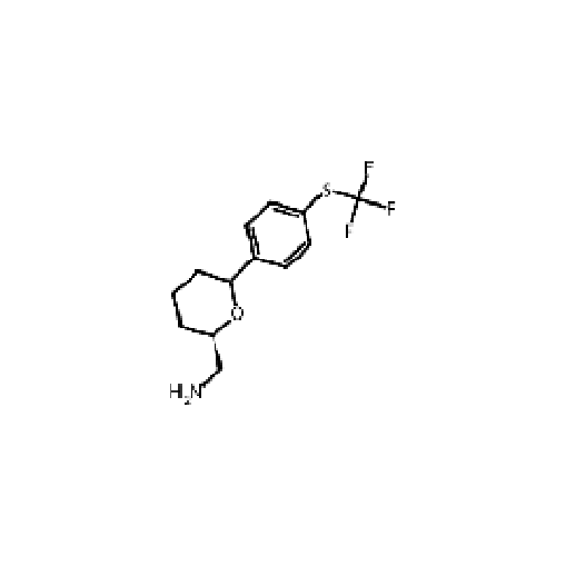 NC[C@H]1CCCC(c2ccc(SC(F)(F)F)cc2)O1